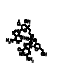 CO[C@H]1[C@H](n2cnc3c(N)ncnc32)OC(C)(CCOP(=O)(S)O[C@@H]2C[C@@H](CO)O[C@H]2n2cnc3c(=O)[nH]c(N)nc32)[C@H]1O